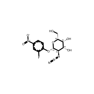 [N-]=[N+]=N[C@H]1[C@H](Oc2ccc([N+](=O)[O-])cc2F)O[C@H](CO)[C@H](O)[C@@H]1O